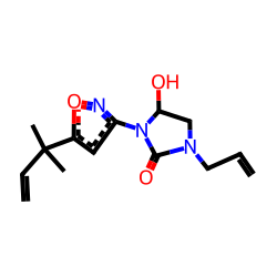 C=CCN1CC(O)N(c2cc(C(C)(C)C=C)on2)C1=O